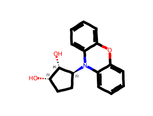 O[C@H]1[C@@H](O)CC[C@@H]1N1c2ccccc2Oc2ccccc21